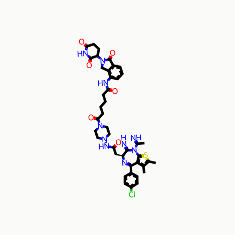 CC(=N)N1C(=N)[C@H](CC(=O)NN2CCN(C(=O)CCCCC(=O)Nc3cccc4c3CN(C3CCC(=O)NC3=O)C4=O)CC2)N=C(c2ccc(Cl)cc2)c2c1sc(C)c2C